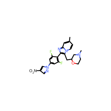 Cc1ccn2c(CC3CN(C)CCO3)c(-c3c(F)cc(-n4cc([N+](=O)[O-])cn4)cc3F)nc2c1